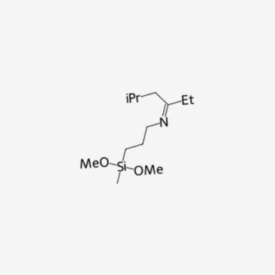 CCC(CC(C)C)=NCCC[Si](C)(OC)OC